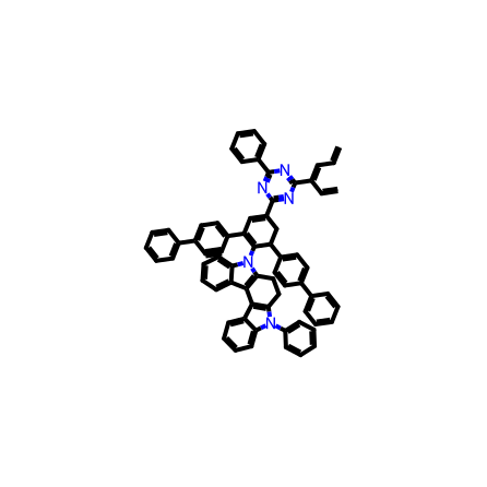 C=C/C=C(\C=C)c1nc(C2=CC(c3c#cc(-c4ccccc4)cc3)=C(n3c4c(c5ccccc53)-c3c(n(-c5ccccc5)c5ccccc35)CC4)C(c3ccc(-c4ccccc4)cc3)C2)nc(-c2ccccc2)n1